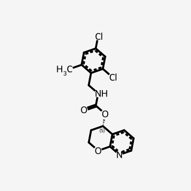 Cc1cc(Cl)cc(Cl)c1CNC(=O)O[C@H]1CCOc2ncccc21